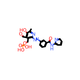 Cc1nc(N=Nc2cccc(C(=O)Nc3ccccn3)c2)c(COP(=O)(O)O)c(C=O)c1O